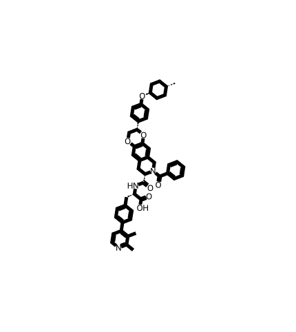 Cc1nccc(-c2ccc(C[C@H](NC(=O)[C@@H]3Cc4cc5c(cc4CN3C(=O)c3ccccc3)O[C@@H](c3ccc(O[C@H]4CC[C@@H](C)CC4)cc3)CO5)C(=O)O)cc2)c1C